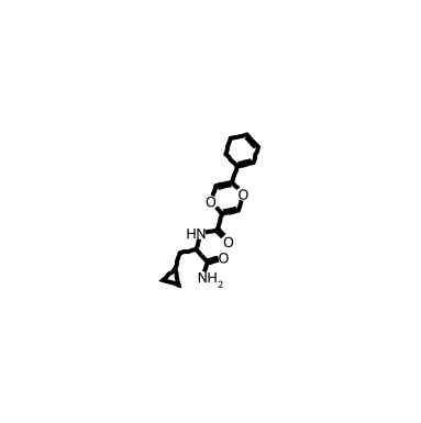 NC(=O)C(CC1CC1)NC(=O)C1=COC(C2=CC=CCC2)=CO1